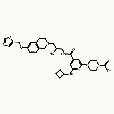 CC(C)C(=O)N1CCN(c2cc(C(=O)NCC(O)CN3CCc4cc(OCc5cnco5)ccc4C3)cc(NC3CCC3)n2)CC1